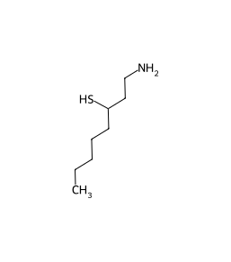 CCCCCC(S)CCN